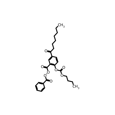 CCCCCCCC(=O)c1ccc(OC(=O)OCCCC)c(C(=O)OOC(=O)c2ccccc2)c1